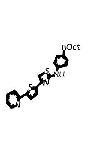 CCCCCCCCc1ccc(Nc2nc(-c3ccc(-c4ccccn4)s3)cs2)cc1